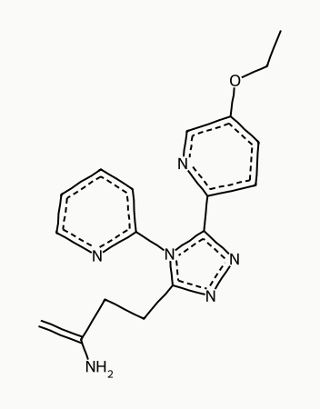 C=C(N)CCc1nnc(-c2ccc(OCC)cn2)n1-c1ccccn1